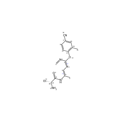 C=N/C(=N\C=C(/C)NC(=O)[C@H](N)CC)Oc1ccc(C#N)cc1C